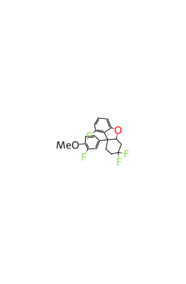 COc1ccc(C23CCC(F)(F)CC2Oc2cccc(F)c23)cc1F